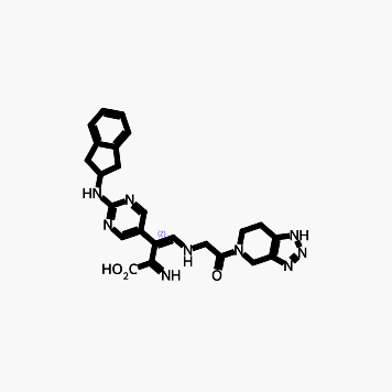 N=C(C(=O)O)/C(=C\NCC(=O)N1CCc2[nH]nnc2C1)c1cnc(NC2Cc3ccccc3C2)nc1